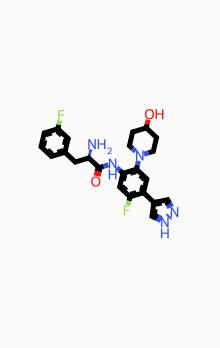 N[C@H](Cc1cccc(F)c1)C(=O)Nc1cc(F)c(-c2cn[nH]c2)cc1N1CCC(O)CC1